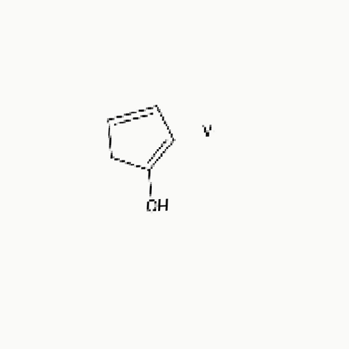 OC1=CC=CC1.[V]